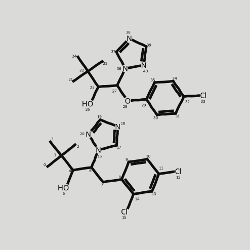 CC(C)(C)C(O)C(Cc1ccc(Cl)cc1Cl)n1cncn1.CC(C)(C)C(O)C(Oc1ccc(Cl)cc1)n1cncn1